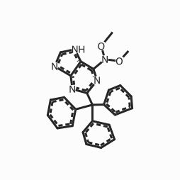 CON(OC)c1nc(C(c2ccccc2)(c2ccccc2)c2ccccc2)nc2nc[nH]c12